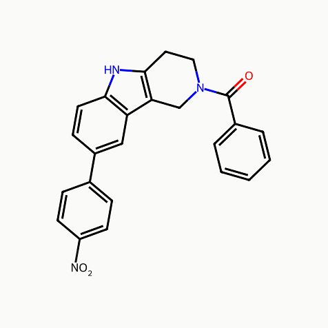 O=C(c1ccccc1)N1CCc2[nH]c3ccc(-c4ccc([N+](=O)[O-])cc4)cc3c2C1